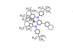 CC(C)(C)c1ccc(N2c3cc4c(cc3B3c5c2cc(-c2ccc6c(c2)CCCC6)cc5N(c2ccc(C(C)(C)C)cc2)c2sc5c(c23)C(C)(C)CCC5(C)C)C(C)(C)CCC4(C)C)cc1